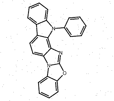 c1ccc(-n2c3ccccc3c3ccc4c(nc5oc6ccccc6n54)c32)cc1